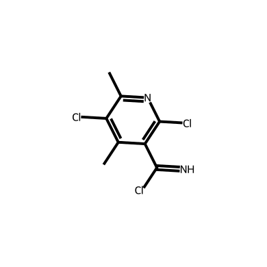 Cc1nc(Cl)c(C(=N)Cl)c(C)c1Cl